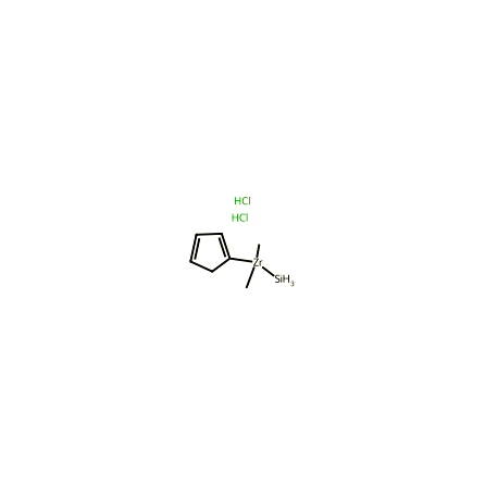 Cl.Cl.[CH3][Zr]([CH3])([SiH3])[C]1=CC=CC1